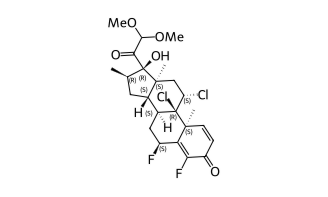 COC(OC)C(=O)[C@@]1(O)[C@H](C)C[C@H]2[C@@H]3C[C@H](F)C4=C(F)C(=O)C=C[C@]4(C)[C@@]3(Cl)[C@@H](Cl)C[C@@]21C